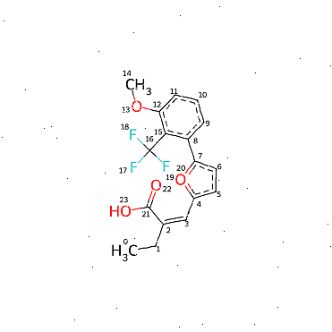 CCC(=Cc1ccc(-c2cccc(OC)c2C(F)(F)F)o1)C(=O)O